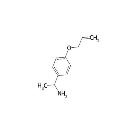 C=CCOc1ccc(C(C)N)cc1